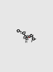 Cc1cc(F)cc(-c2nccc3[nH]c(-c4n[nH]c5ncc(-c6cncc(OCc7ccccc7)c6)cc45)cc23)c1